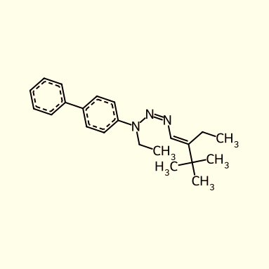 CC/C(=C\N=N/N(CC)c1ccc(-c2ccccc2)cc1)C(C)(C)C